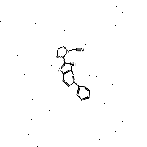 N#CN1CCCC1c1nc2ccc(-c3ccccc3)cc2[nH]1